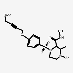 COCC#CCOc1ccc(S(=O)(=O)N2CCN(C(C)=O)C(C)C2C(=O)NO)cc1